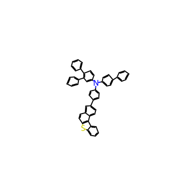 c1ccc(-c2ccc(N(c3ccc(-c4ccc5c(ccc6sc7ccccc7c65)c4)cc3)c3ccc(-c4ccccc4)c(-c4ccccc4)c3)cc2)cc1